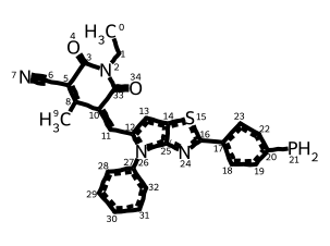 CCN1C(=O)C(C#N)=C(C)/C(=C/c2cc3sc(-c4ccc(P)cc4)nc3n2-c2ccccc2)C1=O